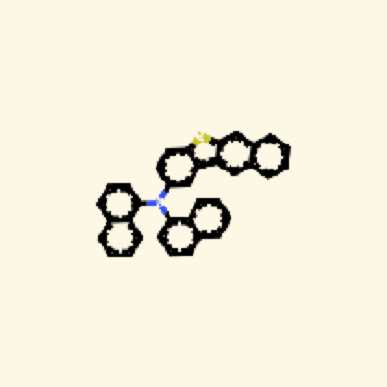 c1ccc2cc3c(cc2c1)sc1ccc(N(c2cccc4ccccc24)c2cccc4ccccc24)cc13